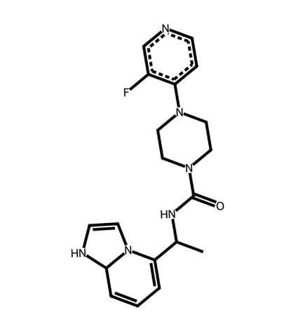 CC(NC(=O)N1CCN(c2ccncc2F)CC1)C1=CC=CC2NC=CN12